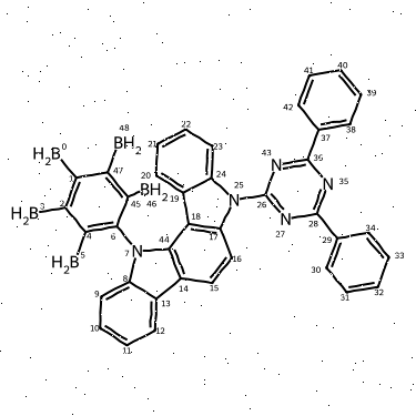 Bc1c(B)c(B)c(-n2c3ccccc3c3ccc4c(c5ccccc5n4-c4nc(-c5ccccc5)nc(-c5ccccc5)n4)c32)c(B)c1B